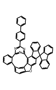 c1ccc(-c2ccc(-c3nc4nc(n3)c3c5c(cc6oc7ccc(cc7c63)c3ccccc43)C3(c4ccccc4-c4ccccc43)c3ccccc3-5)cc2)cc1